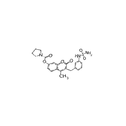 Cc1c(Cc2cccc(NS(N)(=O)=O)c2)c(=O)oc2cc(OC(=O)N3CCCC3)ccc12